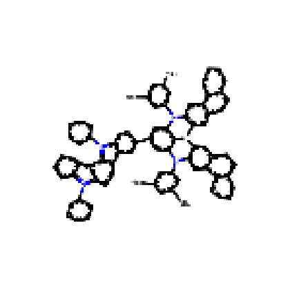 CC(C)(C)c1cc(N2c3cc4c(ccc5ccccc54)cc3B3c4cc5ccc6ccccc6c5cc4N(c4cc(C(C)(C)C)cc(C(C)(C)C)c4)c4cc(-c5ccc6c(c5)c5ccc7c(c8ccccc8n7-c7ccccc7)c5n6-c5ccccc5)cc2c43)cc(C(C)(C)C)c1